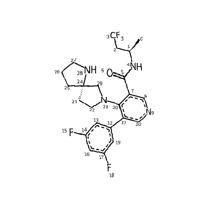 C[C@H](CC(F)(F)F)NC(=O)c1cncc(-c2cc(F)cc(F)c2)c1N1CC[C@@]2(CCCN2)C1